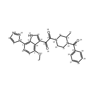 COc1cnc(-n2ccnn2)c2[nH]cc(C(=O)C(=O)N3CCN(C(=O)c4ccccc4)C(C)C3)c12